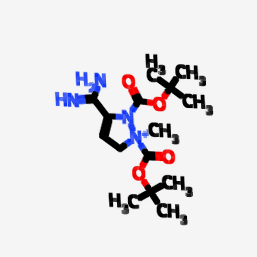 CC(C)(C)OC(=O)N1C(C(=N)N)=CC[N+]1(C)C(=O)OC(C)(C)C